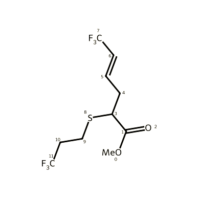 COC(=O)C(C/C=C/C(F)(F)F)SCCC(F)(F)F